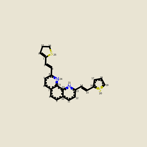 C1=C(/C=C/c2ccc3ccc4ccc(/C=C/c5cccs5)nc4c3n2)SCC1